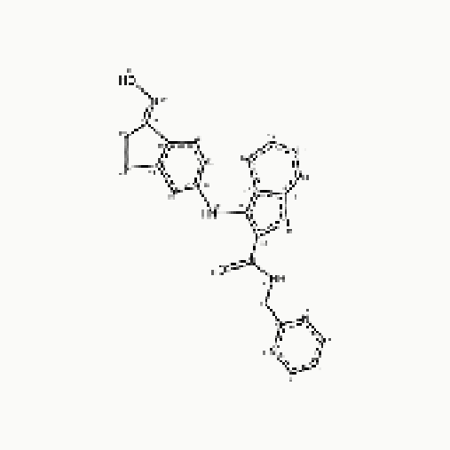 O=C(NCc1ncccn1)c1oc2cnccc2c1Nc1ccc2c(c1)CCC2=NO